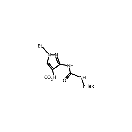 CCCCCCNC(=O)Nc1nn(CC)cc1C(=O)O